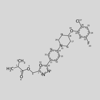 CC(C)C(=O)OCc1nnc(-c2ccc(N3CCC(Oc4cc(F)ccc4Cl)CC3)cc2)o1